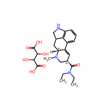 CCN(CC)C(=O)[C@@H]1C=C2c3cccc4c3C(CN4)C[C@H]2N(C)C1.O=C(O)C(O)C(O)C(=O)O